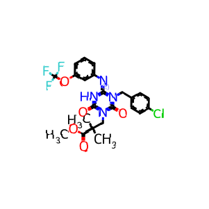 COC(=O)C(C)(C)Cn1c(=O)[nH]/c(=N\c2cccc(OC(F)(F)F)c2)n(Cc2ccc(Cl)cc2)c1=O